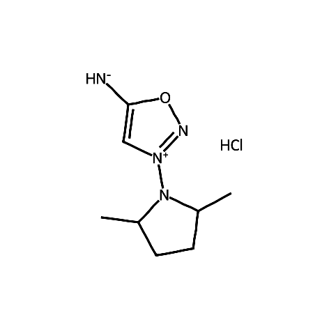 CC1CCC(C)N1[n+]1cc([NH-])on1.Cl